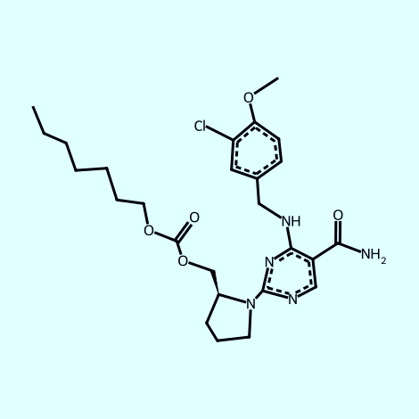 CCCCCCCOC(=O)OC[C@@H]1CCCN1c1ncc(C(N)=O)c(NCc2ccc(OC)c(Cl)c2)n1